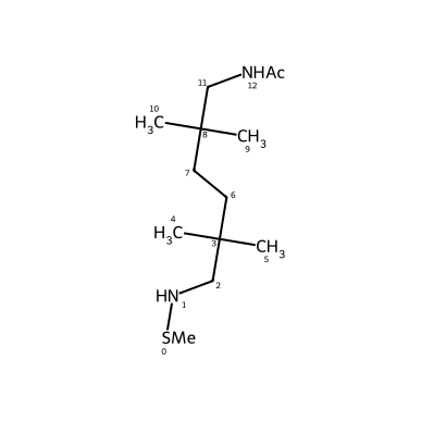 CSNCC(C)(C)CCC(C)(C)CNC(C)=O